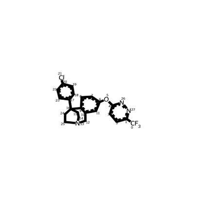 FC(F)(F)c1ccc(Oc2ccc3c(c2)CN2CCC3(c3ccc(Cl)cc3)CC2)nn1